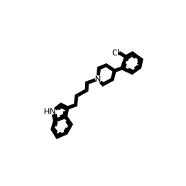 Clc1ccccc1C1CCN(CCCCc2c[nH]c3ccccc23)CC1